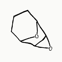 C1CC2OC(C1)C1OC21